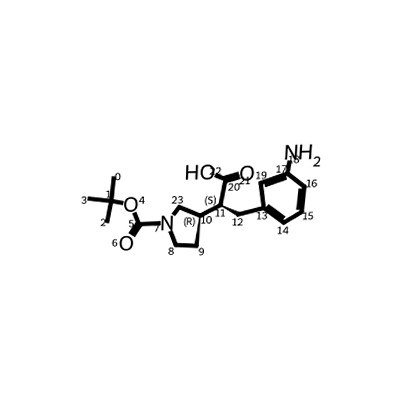 CC(C)(C)OC(=O)N1CC[C@H]([C@H](Cc2cccc(N)c2)C(=O)O)C1